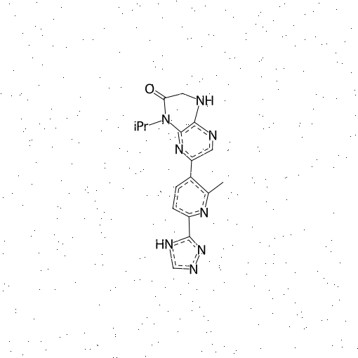 Cc1nc(-c2nnc[nH]2)ccc1-c1cnc2c(n1)N(C(C)C)C(=O)CN2